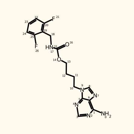 Nc1ncnc2c1ncn2CCCCOC(=O)NCc1c(F)cccc1F